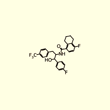 O=C(NC(Cc1ccc(C(F)(F)F)cc1)C(O)c1ccc(F)cc1)c1ccc(F)c2c1CCCC2